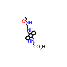 C=CC(=O)NCCCNCc1c2ccccc2c(CNCCC(=O)O)c2ccccc12